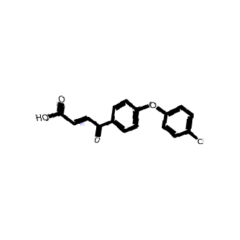 O=C(O)/C=C/C(=O)c1ccc(Oc2ccc(Cl)cc2)cc1